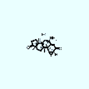 C[C@]12CC[C@H]3[C@@H](C[C@H](N)C4=CC(=O)[C@H]5CC5[C@@]43C)[C@@H]1CCC2=O.Cl